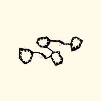 C(=C\c1ccccc1-c1ccccc1/C=C/c1ccccc1)/c1ccccc1